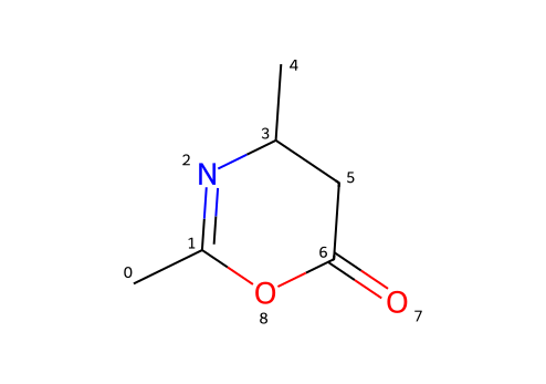 CC1=NC(C)CC(=O)O1